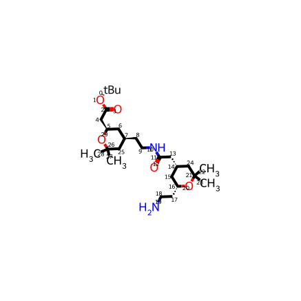 CC(C)(C)OC(=O)C[C@H]1C[C@@H](CCNC(=O)C[C@H]2C[C@@H](CCN)OC(C)(C)C2)CC(C)(C)O1